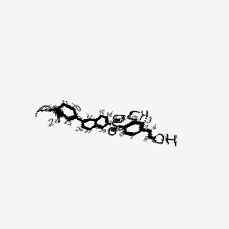 Cc1cc(CCO)ccc1S(=O)(=O)c1ccc2cc(-c3ccc(F)cc3)ccc2c1